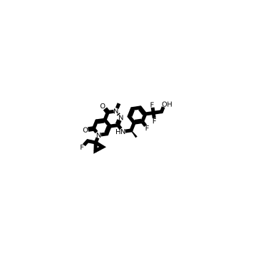 C[C@@H](Nc1nn(C)c(=O)c2cc(=O)n(C3(CF)CC3)cc12)c1cccc(C(F)(F)CO)c1F